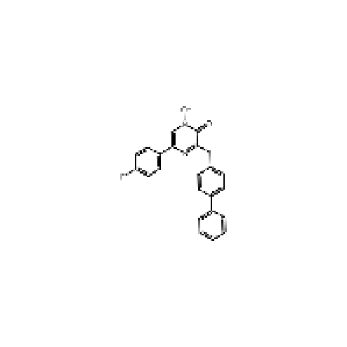 O=c1c(Cc2ccc(-c3ccccc3)cc2)nc(-c2ccc(F)cc2)cn1O